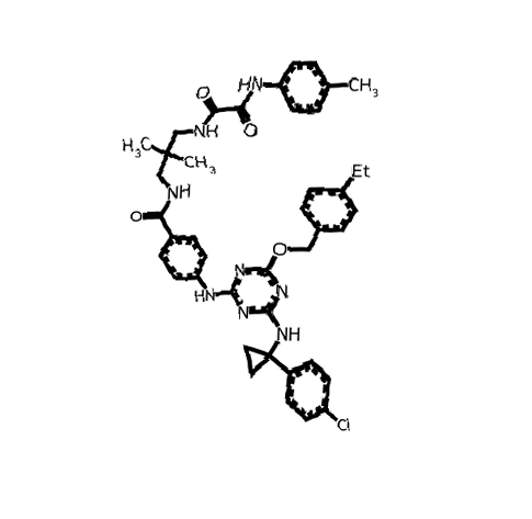 CCc1ccc(COc2nc(Nc3ccc(C(=O)NCC(C)(C)CNC(=O)C(=O)Nc4ccc(C)cc4)cc3)nc(NC3(c4ccc(Cl)cc4)CC3)n2)cc1